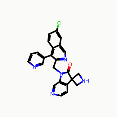 O=C1N(Cc2ncc3cc(Cl)ccc3c2-c2cccnc2)c2cnccc2C12CNC2